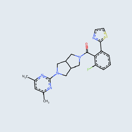 Cc1cc(C)nc(N2CC3CN(C(=O)c4c(F)cccc4-c4nccs4)CC3C2)n1